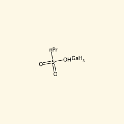 CCCS(=O)(=O)O.[GaH3]